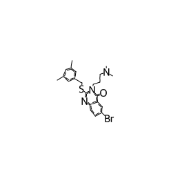 Cc1cc(C)cc(CSc2nc3ccc(Br)cc3c(=O)n2CCCN(C)C)c1